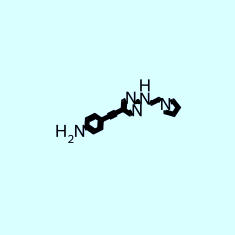 Nc1ccc(C#Cc2cnc(NCCN3CCCC3)nc2)cc1